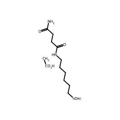 CC(=O)O.CCCCCCCCCCCCCCCCNC(=O)CCC(N)=O